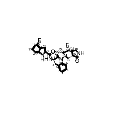 O=C(N[C@@H](Cc1ccccc1)C(=O)NN(C[C@@H]1CCNC1=O)C(=O)[C@H](F)Cl)c1cc2c(F)cccc2[nH]1